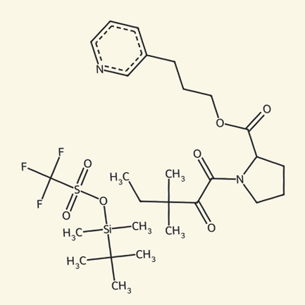 CC(C)(C)[Si](C)(C)OS(=O)(=O)C(F)(F)F.CCC(C)(C)C(=O)C(=O)N1CCCC1C(=O)OCCCc1cccnc1